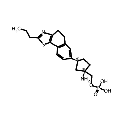 CCCc1nc2c(s1)-c1ccc([C@H]3CC[C@](N)(COP(=O)(O)O)C3)cc1CC2